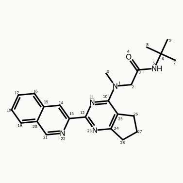 CN(CC(=O)NC(C)(C)C)c1nc(-c2cc3ccccc3cn2)nc2c1CCC2